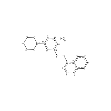 C(=Cc1cccc2ccccc12)c1ccnc(N2CCCCC2)c1.Cl